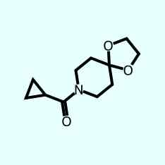 O=C(C1CC1)N1CCC2(CC1)OCCO2